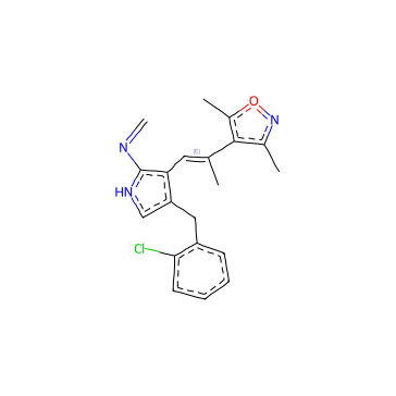 C=Nc1[nH]cc(Cc2ccccc2Cl)c1/C=C(\C)c1c(C)noc1C